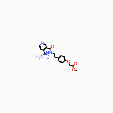 COC(=O)COc1ccc(CCNC(=O)c2cnccc2C(=N)N)cc1